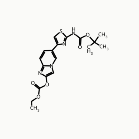 CCOC(=O)Oc1cn2cc(-c3csc(NC(=O)OC(C)(C)C)n3)ccc2n1